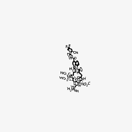 N#C[C@H]1CC(F)(F)CN1C(=O)CNC(=O)c1ccnc2c(NC(=O)CCC(=O)N[C@H](CC(=O)O)C(=O)N[C@H](CCCNC(=N)N)C(=O)N[C@H](CC(=O)O)C(=O)N[C@H](CCCCN)C(=O)O)cccc12